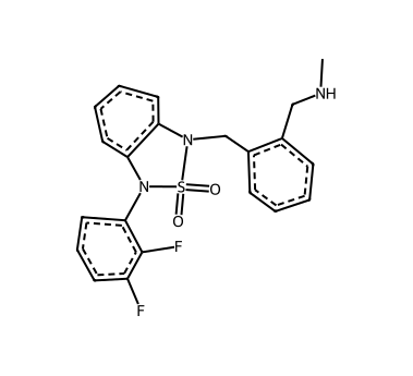 CNCc1ccccc1CN1c2ccccc2N(c2cccc(F)c2F)S1(=O)=O